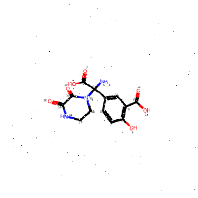 NC(C(=O)O)(c1ccc(O)c(C(=O)O)c1)N1CCNC(=O)C1=O